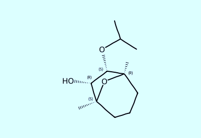 CC(C)O[C@H]1[C@@H](O)[C@]2(C)CCC[C@@]1(C)O2